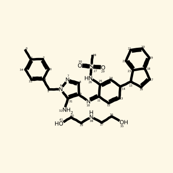 Cc1ccc(Cn2ncc(N=C3C=CC(C4C=Cc5ccccc54)C=C3NS(C)(=O)=O)c2N)cc1.OCCNCCO